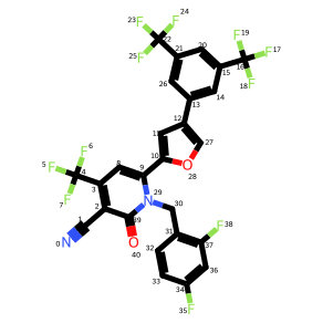 N#Cc1c(C(F)(F)F)cc(-c2cc(-c3cc(C(F)(F)F)cc(C(F)(F)F)c3)co2)n(Cc2ccc(F)cc2F)c1=O